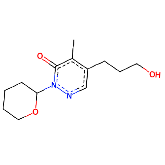 Cc1c(CCCO)cnn(C2CCCCO2)c1=O